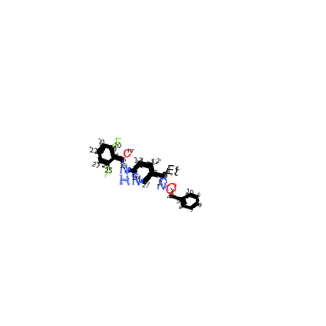 CC/C(=N\OCc1ccccc1)c1ccc(NC(=O)c2c(F)cccc2F)nc1